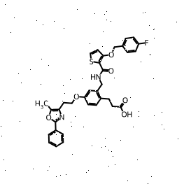 Cc1oc(-c2ccccc2)nc1CCOc1ccc(CCC(=O)O)c(CNC(=O)c2sccc2OCc2ccc(F)cc2)c1